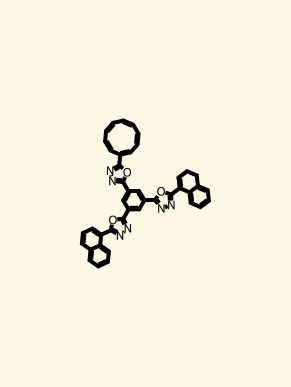 C1=C(c2nnc(-c3cc(-c4nnc(-c5ccccccccc5)o4)cc(-c4nnc(-c5cccc6ccccc56)o4)c3)o2)c2ccccc2CC1